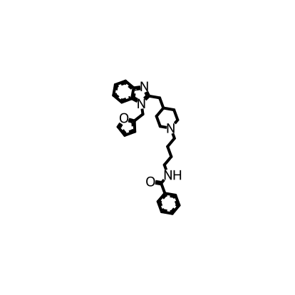 O=C(NCCCCN1CCC(Cc2nc3ccccc3n2Cc2ccco2)CC1)c1ccccc1